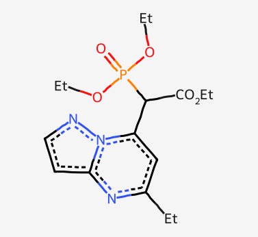 CCOC(=O)C(c1cc(CC)nc2ccnn12)P(=O)(OCC)OCC